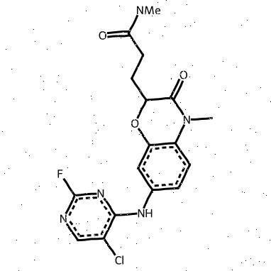 CNC(=O)CCC1Oc2cc(Nc3nc(F)ncc3Cl)ccc2N(C)C1=O